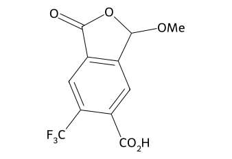 COC1OC(=O)c2cc(C(F)(F)F)c(C(=O)O)cc21